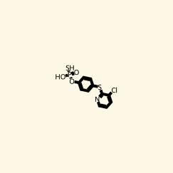 O=P(O)(S)Oc1ccc(Sc2ncccc2Cl)cc1